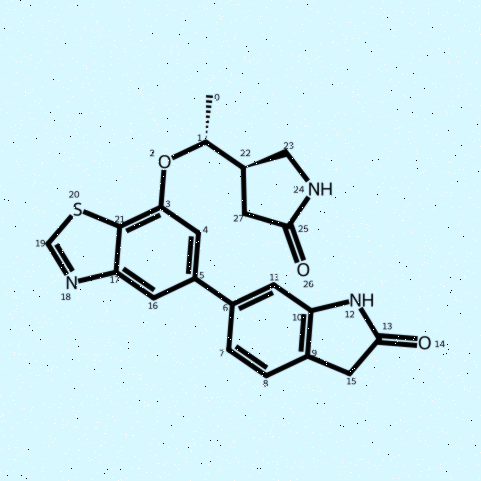 C[C@@H](Oc1cc(-c2ccc3c(c2)NC(=O)C3)cc2ncsc12)[C@H]1CNC(=O)C1